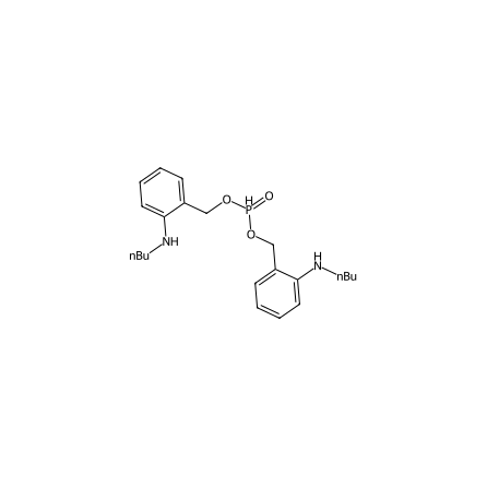 CCCCNc1ccccc1CO[PH](=O)OCc1ccccc1NCCCC